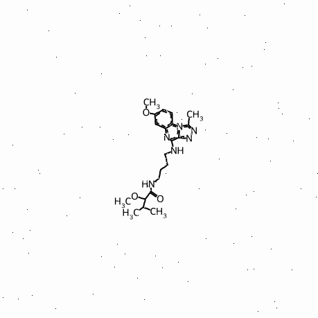 COc1ccc2c(c1)nc(NCCCCNC(=O)C(OC)C(C)C)c1nnc(C)n12